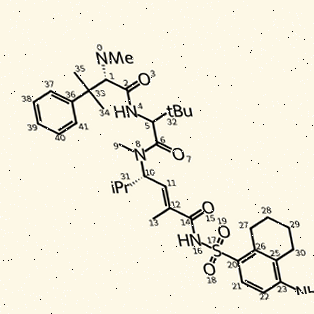 CN[C@H](C(=O)NC(C(=O)N(C)[C@H](/C=C(\C)C(=O)NS(=O)(=O)c1ccc(N)c2c1CCCC2)C(C)C)C(C)(C)C)C(C)(C)c1ccccc1